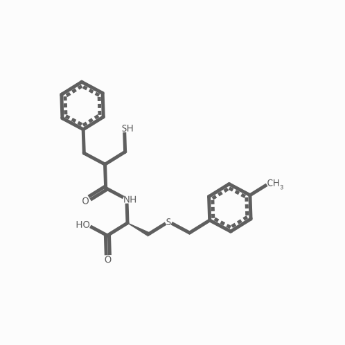 Cc1ccc(CSC[C@H](NC(=O)C(CS)Cc2ccccc2)C(=O)O)cc1